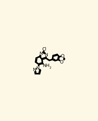 Nc1c(-n2cccn2)ccc2nc(Cl)nc(Cc3ccc4c(c3)OCO4)c12